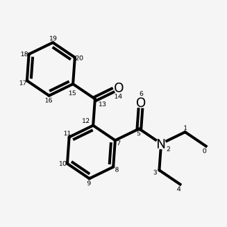 CCN(CC)C(=O)c1ccccc1C(=O)c1ccccc1